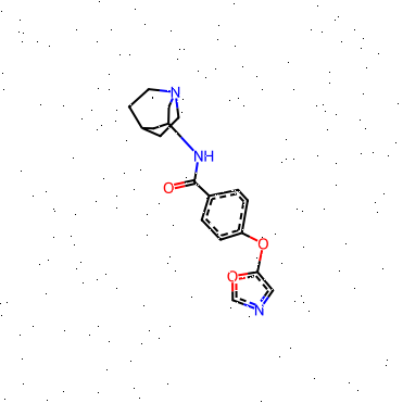 O=C(NC1CC2CCN(CC2)C1)c1ccc(Oc2cnco2)cc1